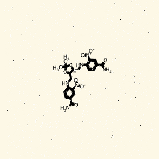 CC1(C)OC(CNc2ccc(C(N)=O)cc2[N+](=O)[O-])[C@@H](CNc2ccc(C(N)=O)cc2[N+](=O)[O-])O1